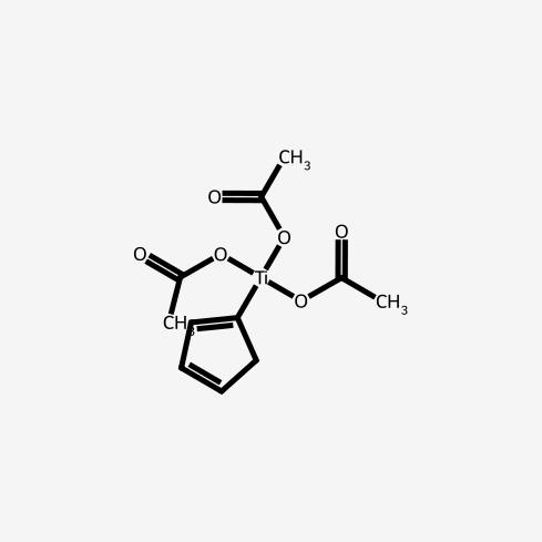 CC(=O)[O][Ti]([O]C(C)=O)([O]C(C)=O)[C]1=CC=CC1